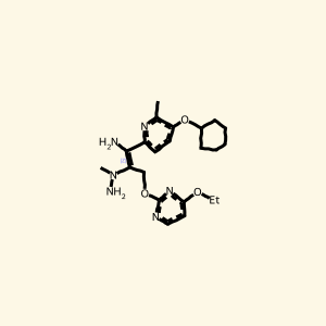 CCOc1ccnc(OC/C(=C(/N)c2ccc(OC3CCCCC3)c(C)n2)N(C)N)n1